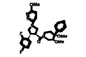 COc1ccc(N2C[C@@H](C(=O)N3CC[C@](OC)(c4ccccc4)[C@@H](OC)C3)[C@H](c3ccc(F)cc3F)C2)nn1